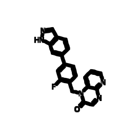 O=c1cnc2ncccc2n1Cc1ccc(-c2ccc3cn[nH]c3c2)cc1F